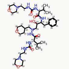 CC(C)[C@H](NC(=O)NCCN1CCOCC1)C(=O)NC(Cc1ccccc1)C(O)CN(CC1CCOCC1)NC(=O)[C@@H](NC(=O)NCCN1CCOCC1)C(C)C